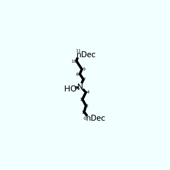 CCCCCCCCCCCCCCN(O)CCCCCCCCCCCCCC